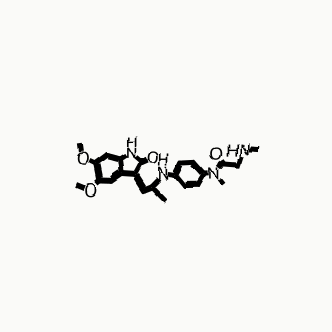 CNCC(=O)N(C)c1ccc(NC(C)C=C2C(=O)Nc3cc(OC)c(OC)cc32)cc1